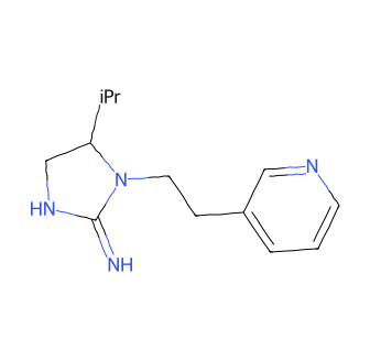 CC(C)C1CNC(=N)N1CCc1cccnc1